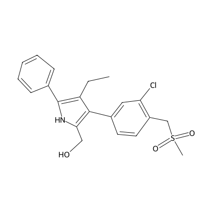 CCc1c(-c2ccccc2)[nH]c(CO)c1-c1ccc(CS(C)(=O)=O)c(Cl)c1